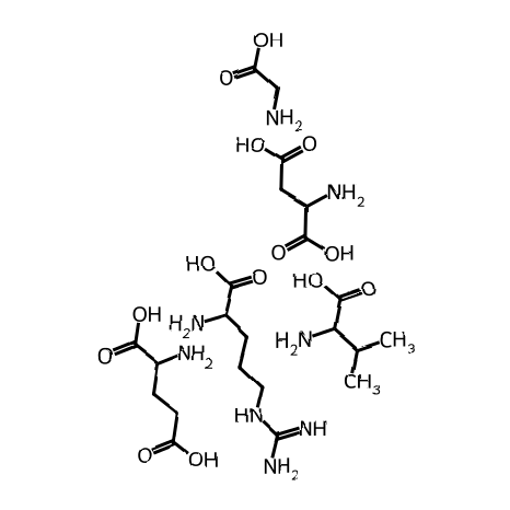 CC(C)C(N)C(=O)O.N=C(N)NCCCC(N)C(=O)O.NC(CC(=O)O)C(=O)O.NC(CCC(=O)O)C(=O)O.NCC(=O)O